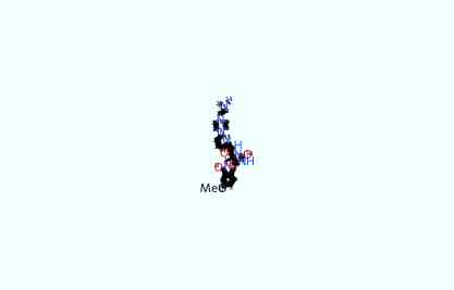 COc1ccc2c(c1)C(=O)N(C[C@@]1(c3cc4nc(N5CCN(CCN(C)C)CC5)ccc4o3)NC(=O)NC1=O)C2